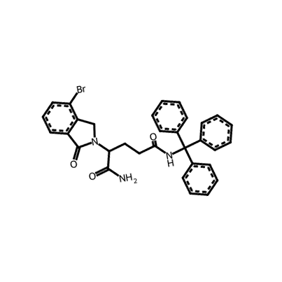 NC(=O)C(CCC(=O)NC(c1ccccc1)(c1ccccc1)c1ccccc1)N1Cc2c(Br)cccc2C1=O